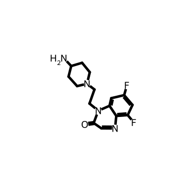 NC1CCN(CCn2c(=O)cnc3c(F)cc(F)cc32)CC1